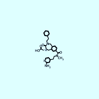 CN(CCc1ccnc(N)c1)C(=O)c1ccc2c(c1)C[C@H](CC(=O)O)C(=O)N(CCc1ccccc1)C2